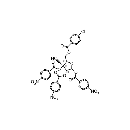 C#C[C@@]1(OC(=O)c2ccc([N+](=O)[O-])cc2)[C@@H](COC(=O)c2ccc(Cl)cc2)OC(OC(=O)c2ccc([N+](=O)[O-])cc2)[C@@H]1OC(=O)c1ccc([N+](=O)[O-])cc1